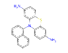 Nc1ccc2c(c1)Sc1ccc(N)cc1N2c1cccc2ccccc12